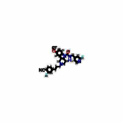 N#Cc1ccc(/C=C/CN2CCc3c(c4cc(OC(F)(F)F)ccc4n3C(=O)NCc3ccnc(F)c3)C2)cc1F